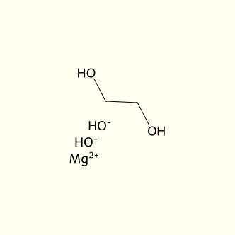 OCCO.[Mg+2].[OH-].[OH-]